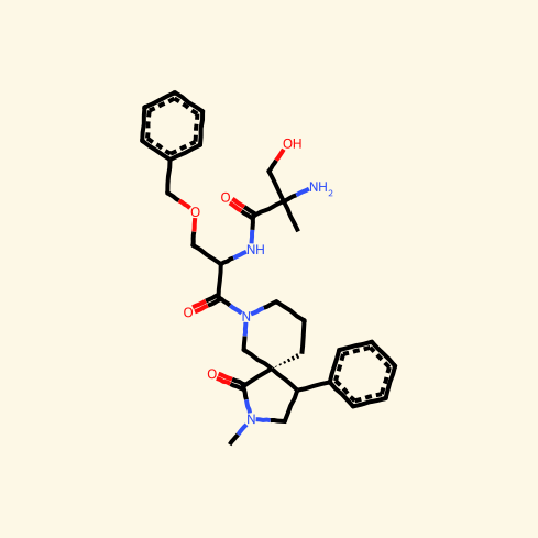 CN1CC(c2ccccc2)[C@@]2(CCCN(C(=O)C(COCc3ccccc3)NC(=O)C(C)(N)CO)C2)C1=O